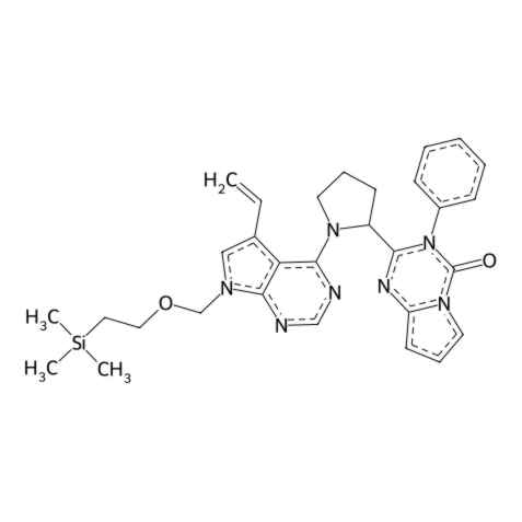 C=Cc1cn(COCC[Si](C)(C)C)c2ncnc(N3CCCC3c3nc4cccn4c(=O)n3-c3ccccc3)c12